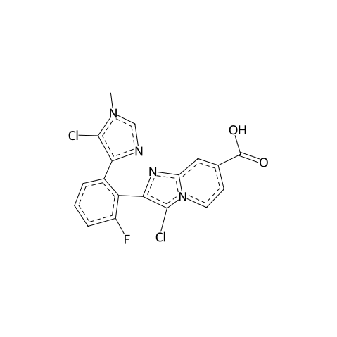 Cn1cnc(-c2cccc(F)c2-c2nc3cc(C(=O)O)ccn3c2Cl)c1Cl